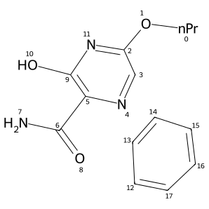 CCCOc1cnc(C(N)=O)c(O)n1.c1ccccc1